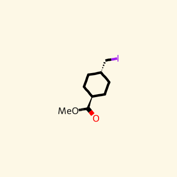 COC(=O)[C@H]1CC[C@H](CI)CC1